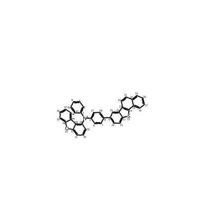 c1ccc(N(c2ccc(-c3ccc4sc5c6ccccc6ccc5c4c3)cc2)c2cccc3oc4ccccc4c23)cc1